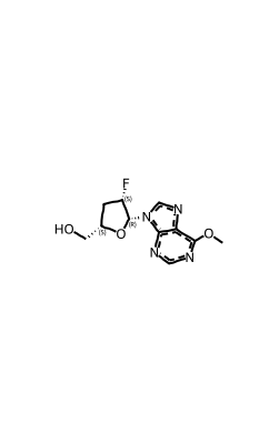 COc1ncnc2c1ncn2[C@@H]1O[C@H](CO)C[C@@H]1F